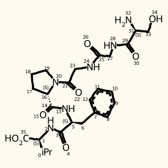 CC(C)[C@H](NC(=O)[C@H](Cc1ccccc1)NC(=O)[C@@H]1CCCN1C(=O)CNC(=O)CNC(=O)[C@@H](N)CO)C(=O)O